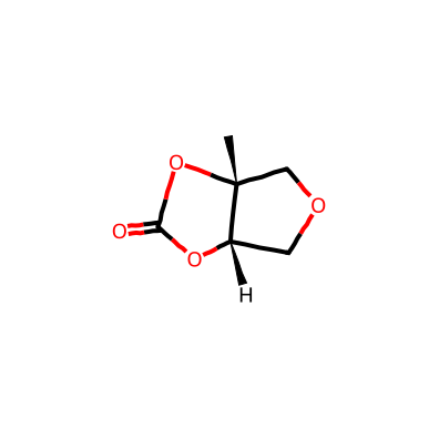 C[C@@]12COC[C@@H]1OC(=O)O2